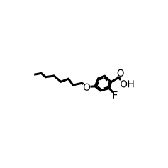 CCCCCCCCOc1ccc(C(=O)O)c(F)c1